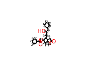 O=C1C[C@@H]2[C@@H](C=CC(O)CC3C=CCCC3)[C@H](OC(=O)c3ccccc3)C[C@@H]2O1